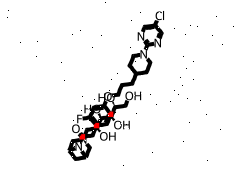 O=C(Cc1ccc(OCCCC2CCN(c3ncc(Cl)cn3)CC2)cc1F)N1C2CC1CN(C[C@H](O)[C@@H](O)[C@H](O)[C@H](O)CO)C2